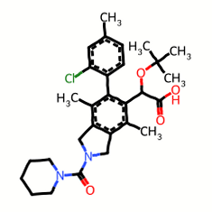 Cc1ccc(-c2c(C)c3c(c(C)c2C(OC(C)(C)C)C(=O)O)CN(C(=O)N2CCCCC2)C3)c(Cl)c1